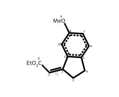 CCOC(=O)/C=C1/CCc2ccc(OC)cc21